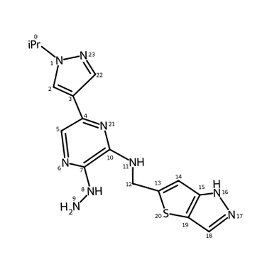 CC(C)n1cc(-c2cnc(NN)c(NCc3cc4[nH]ncc4s3)n2)cn1